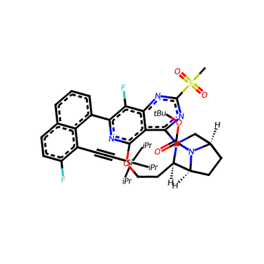 CC(C)[Si](C#Cc1c(F)ccc2cccc(-c3nc4c5c(nc(S(C)(=O)=O)nc5c3F)N3C[C@H]5CC[C@@H]([C@H]3CCO4)N5C(=O)OC(C)(C)C)c12)(C(C)C)C(C)C